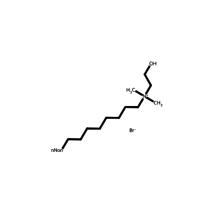 CCCCCCCCCCCCCCCCC[N+](C)(C)CCO.[Br-]